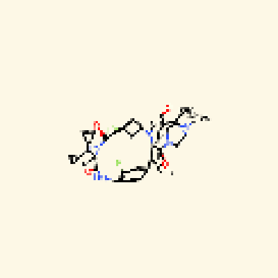 CCC(C=O)C[N+]1(C)C2CC(F)(C2)C(=O)N[C@@H](C(C2CC2)C2CC2)C(=O)Nc2ccc(cc2F)[C@H](C)[C@@H]1C(=O)N1CCN(C)[C@H](C)C1